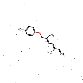 C=C/C(C)=C/C=C(\C)COc1ccc(C#N)cc1